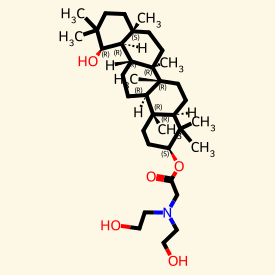 CC1(C)CC[C@]2(C)CC[C@]3(C)[C@H](CC[C@@H]4[C@@]5(C)CC[C@H](OC(=O)CN(CCO)CCO)C(C)(C)[C@@H]5CC[C@]43C)[C@H]2[C@H]1O